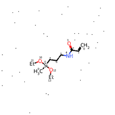 C=CC(=O)NCCC[Si](C)(OCC)OCC